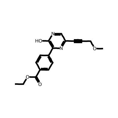 CCOC(=O)c1ccc(-c2nc(C#CCOC)cnc2O)cc1